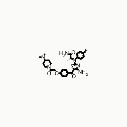 C[C@H](C(N)=O)N(c1ccc(F)cc1)c1nc(N)c(C(=O)c2ccc(OCC(=O)N3CCC(N(C)C)CC3)cc2)s1